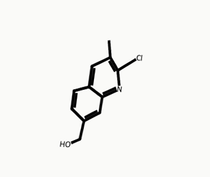 Cc1cc2ccc(CO)cc2nc1Cl